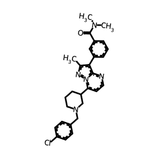 Cc1nn2c(C3CCCN(Cc4ccc(Cl)cc4)C3)ccnc2c1-c1cccc(C(=O)N(C)C)c1